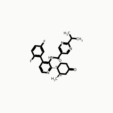 CC(C)c1ncc(C(=O)Nc2c(-c3cc(F)ccc3F)ccnc2[C@@H]2CCC(=O)C[C@H]2C)cn1